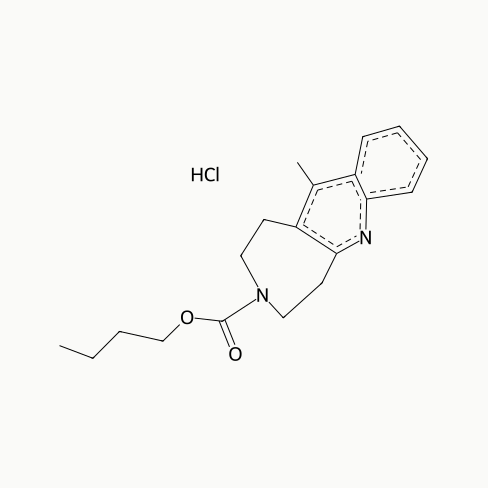 CCCCOC(=O)N1CCc2nc3ccccc3c(C)c2CC1.Cl